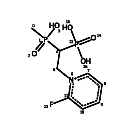 CP(=O)(O)C(C[n+]1ccccc1F)P(=O)(O)O